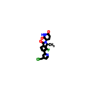 C[C@@H]1c2c(ccc(-c3cc(CCl)ccn3)c2F)C(=O)N1[C@@H]1CCC(=O)NC1=O